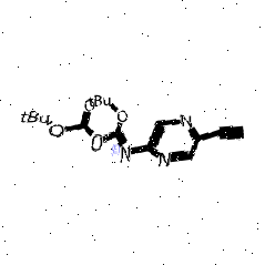 C#Cc1cnc(/N=C(/OC(=O)OC(C)(C)C)OC(C)(C)C)cn1